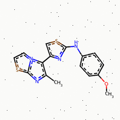 COc1ccc(Nc2nc(-c3c(C)nc4sccn34)cs2)cc1